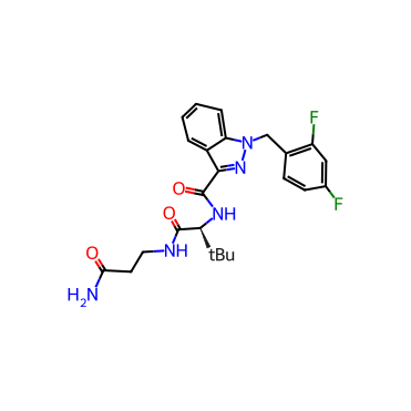 CC(C)(C)[C@H](NC(=O)c1nn(Cc2ccc(F)cc2F)c2ccccc12)C(=O)NCCC(N)=O